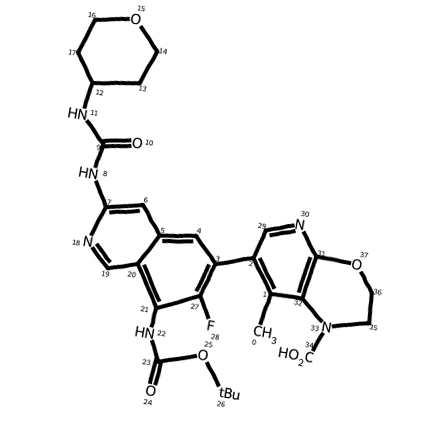 Cc1c(-c2cc3cc(NC(=O)NC4CCOCC4)ncc3c(NC(=O)OC(C)(C)C)c2F)cnc2c1N(C(=O)O)CCO2